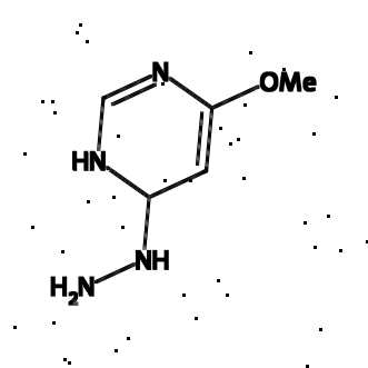 COC1=CC(NN)NC=N1